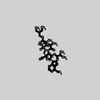 CCC(CC)COC(=O)[C@H](C)NP(=O)(O)OC[C@@]1(C#N)O[C@@H](c2ccc3c(N)ncnn23)[C@H](OC(=O)C(C)C)[C@@H]1OC(=O)C(C)C